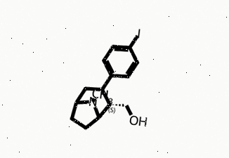 CN1C2CCC1[C@@H](CO)C(c1ccc(I)cc1)C2